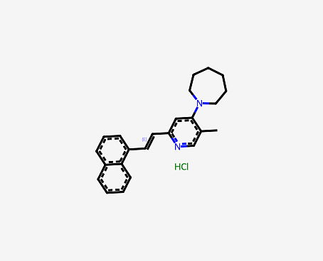 Cc1cnc(/C=C/c2cccc3ccccc23)cc1N1CCCCCC1.Cl